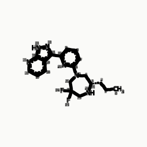 CCC[C@H]1CN(c2cccc(-c3n[nH]c4ncccc34)n2)CC(F)(F)CN1